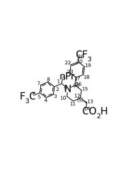 CCCC(c1ccc(C(F)(F)F)cc1)N1CC[C@H](CC(=O)O)C[C@@H]1C1C=CC(C(F)(F)F)=CC1